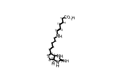 N=C1NC2C(CCCCCNCCCCCC(=O)O)SC[C@@H]2N1